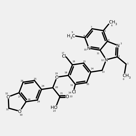 CCc1nc2c(C)cc(C)nc2n1Cc1cc(Cl)c(OC(C(=O)O)c2ccc3c(c2)OCO3)c(Cl)c1